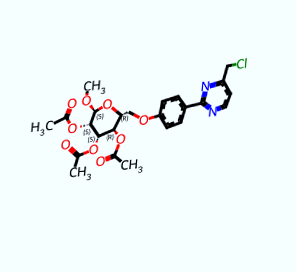 CO[C@H]1O[C@H](COc2ccc(-c3nccc(CCl)n3)cc2)[C@@H](OC(C)=O)[C@H](OC(C)=O)[C@@H]1OC(C)=O